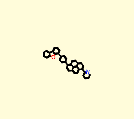 c1ccc(-c2ccc3ccc4c(-c5ccc(-c6cccc7c6oc6ccccc67)cc5)ccc5ccc2c3c54)nc1